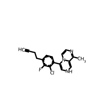 C#CCCc1ccc(C2=CNC=C3C(C)=NC=CN32)c(Cl)c1F